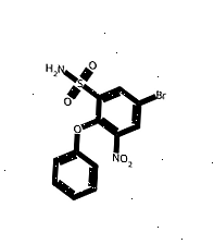 NS(=O)(=O)c1cc(Br)cc([N+](=O)[O-])c1Oc1ccccc1